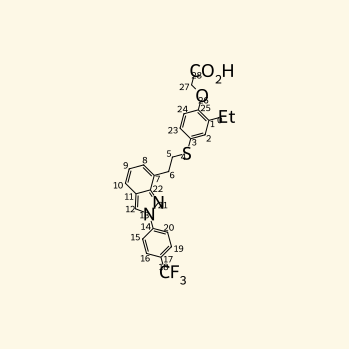 CCc1cc(SCCc2cccc3cn(-c4ccc(C(F)(F)F)cc4)nc23)ccc1OCC(=O)O